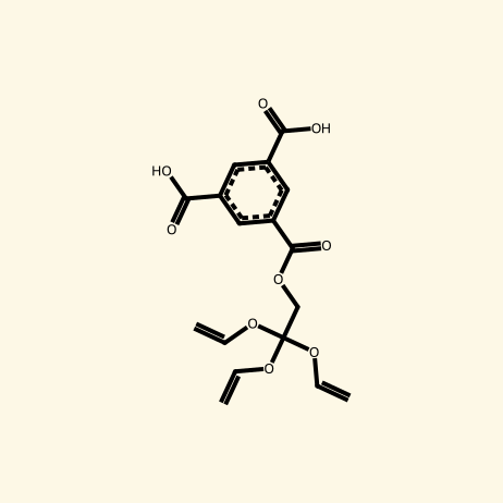 C=COC(COC(=O)c1cc(C(=O)O)cc(C(=O)O)c1)(OC=C)OC=C